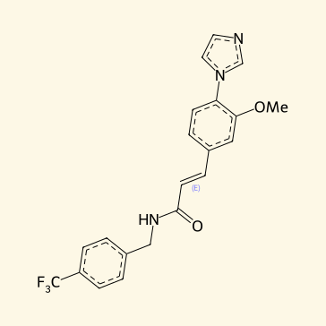 COc1cc(/C=C/C(=O)NCc2ccc(C(F)(F)F)cc2)ccc1-n1ccnc1